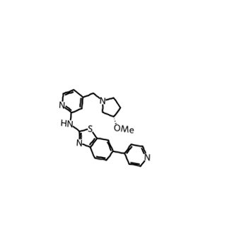 CO[C@H]1CCN(Cc2ccnc(Nc3nc4ccc(-c5ccncc5)cc4s3)c2)C1